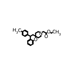 CCOC(=O)CN1CCC2(CC1)CC(c1ccc(C)cc1)c1ccccc1O2